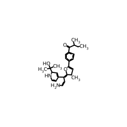 CCC(C)C(=O)c1ccc(C2=CC(C)/C(=C(\C=C/N)C3=CC(C(C)(C)O)NC=C3)O2)cc1